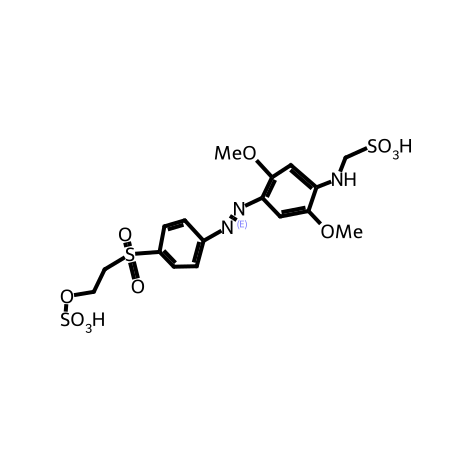 COc1cc(NCS(=O)(=O)O)c(OC)cc1/N=N/c1ccc(S(=O)(=O)CCOS(=O)(=O)O)cc1